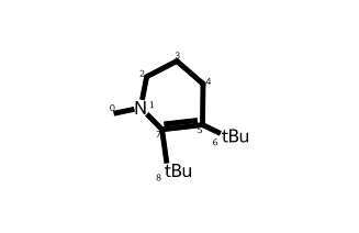 CN1CCCC(C(C)(C)C)=C1C(C)(C)C